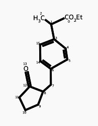 CCOC(=O)C(C)c1ccc(CC2CCCC2=O)cc1